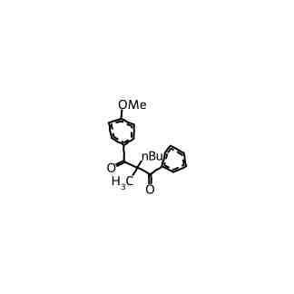 CCCCC(C)(C(=O)c1ccccc1)C(=O)c1ccc(OC)cc1